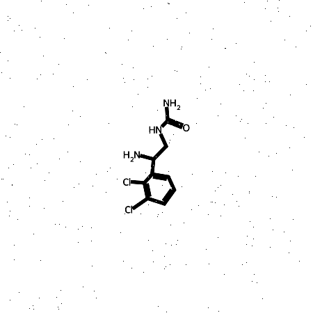 NC(=O)NCC(N)c1cccc(Cl)c1Cl